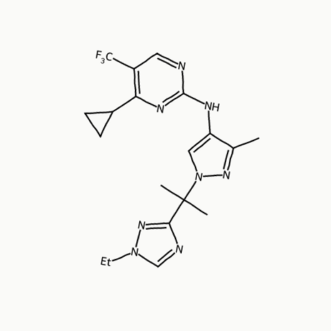 CCn1cnc(C(C)(C)n2cc(Nc3ncc(C(F)(F)F)c(C4CC4)n3)c(C)n2)n1